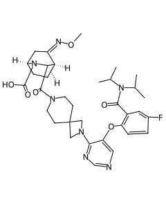 CO/N=C1/C[C@@H]2CC[C@H]1[C@@H](C(=O)N1CCC3(CC1)CN(c1ncncc1Oc1ccc(F)cc1C(=O)N(C(C)C)C(C)C)C3)N2C(=O)O